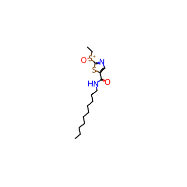 CCCCCCCCCCNC(=O)c1cnc([S+]([O-])CC)s1